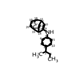 CCC(C)c1ccc(NC2=C[C]3C=C[C]2c2ccc3cc2)cc1